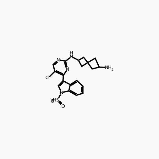 NC1CC2(C1)CC(Nc1ncc(Cl)c(-c3cn([SH](=O)=O)c4ccccc34)n1)C2